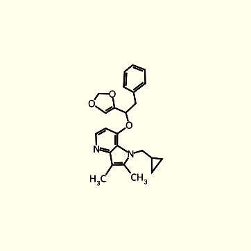 Cc1c(C)n(CC2CC2)c2c(OC(Cc3ccccc3)C3=COCO3)ccnc12